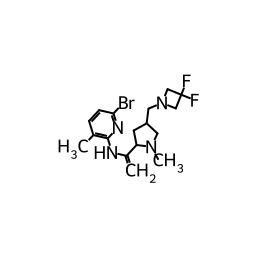 C=C(Nc1nc(Br)ccc1C)C1CC(CN2CC(F)(F)C2)CN1C